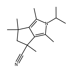 Cc1c2c(c(C)n1C(C)C)C(C)(C#N)CC2(C)C